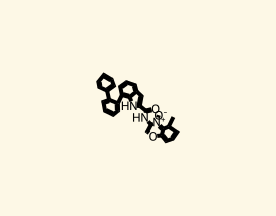 CC1C=CC=C2OCC(NC(=O)c3cc4cccc(-c5ccccc5-c5ccccc5)c4[nH]3)[N+]([O-])=C21